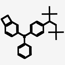 CC(C)(C)CC(c1ccc(N(c2ccccc2)c2ccc3c(c2)CC3)cc1)C(C)(C)C